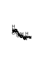 CN(C)CCNc1nccc(-c2ccc(C(=O)NCCc3ccc4[nH]cc(C#N)c4c3)cc2)n1